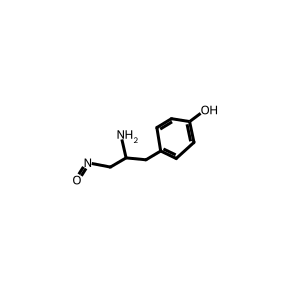 NC(CN=O)Cc1ccc(O)cc1